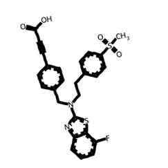 CS(=O)(=O)c1ccc(CCN(Cc2ccc(C#CC(=O)O)cc2)c2nc3cccc(F)c3s2)cc1